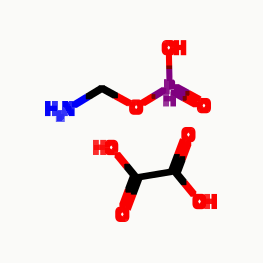 NCO[PH](=O)O.O=C(O)C(=O)O